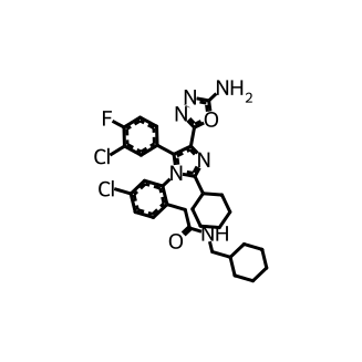 Nc1nnc(-c2nc(C3CCCCC3)n(-c3cc(Cl)ccc3CC(=O)NCC3CCCCC3)c2-c2ccc(F)c(Cl)c2)o1